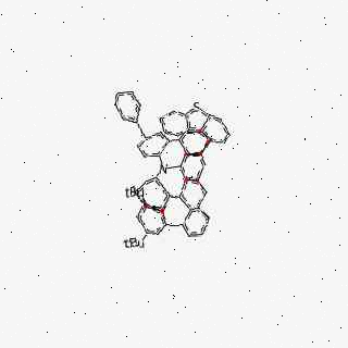 CC(C)(C)c1cc(-c2cccc3cccc(-c4ccccc4N(c4cccc(-c5cccc6sc7ccccc7c56)c4)c4ccc(-c5ccccc5)cc4-c4ccccc4)c23)cc(C(C)(C)C)c1